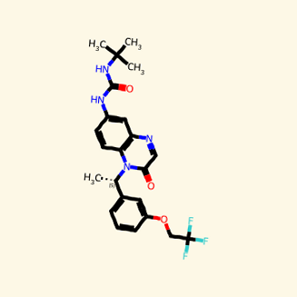 C[C@@H](c1cccc(OCC(F)(F)F)c1)n1c(=O)cnc2cc(NC(=O)NC(C)(C)C)ccc21